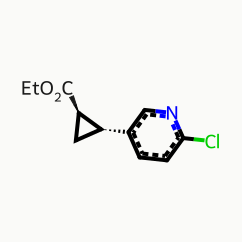 CCOC(=O)[C@@H]1C[C@H]1c1ccc(Cl)nc1